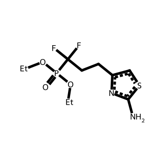 CCOP(=O)(OCC)C(F)(F)CCc1csc(N)n1